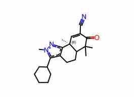 Cn1nc2c(c1C1CCCCC1)CCC1C(C)(C)C(=O)C(C#N)=C[C@]21C